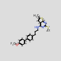 CCSc1nc(NCCCc2ccc(-c3ccc(OC(F)(F)F)cc3)cc2)c2cc(C)sc2n1